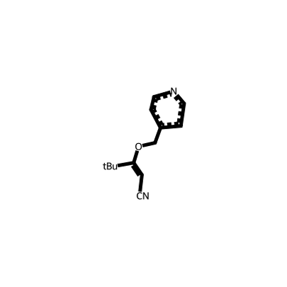 CC(C)(C)C(=CC#N)OCc1ccncc1